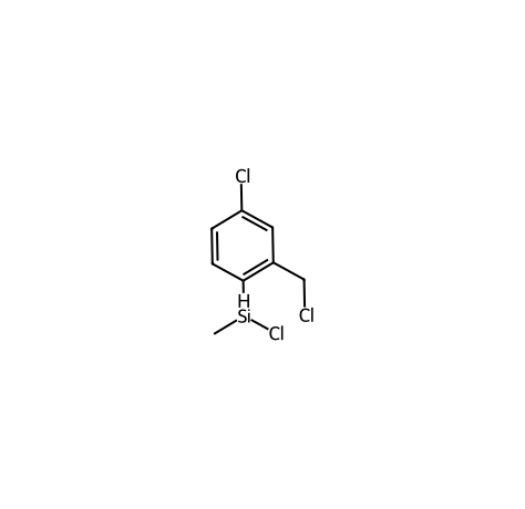 C[SiH](Cl)c1ccc(Cl)cc1CCl